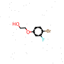 OCCOc1ccc(Br)c(F)c1